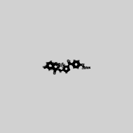 CCCCCCOc1ccc(C(=O)[C@H]2CC[C@@H](Cn3nnc4ccc(C)cc4c3=O)[C@@H]2C(=O)O)cc1